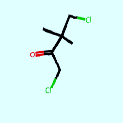 CC(C)(CCl)C(=O)CCl